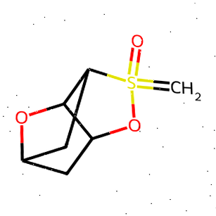 C=S1(=O)OC2CC3CC1C2O3